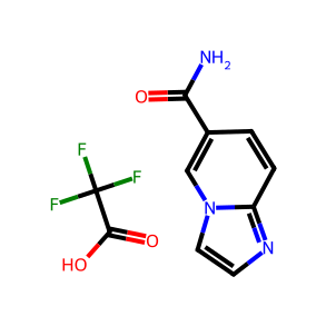 NC(=O)c1ccc2nccn2c1.O=C(O)C(F)(F)F